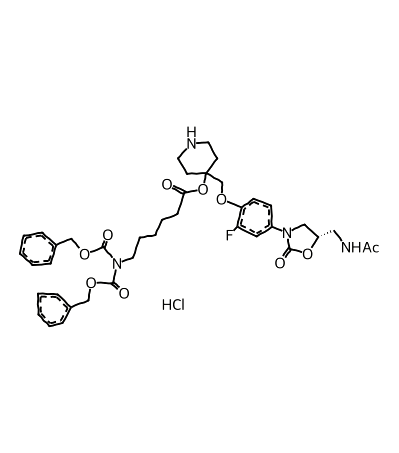 CC(=O)NC[C@H]1CN(c2ccc(OCC3(OC(=O)CCCCCN(C(=O)OCc4ccccc4)C(=O)OCc4ccccc4)CCNCC3)c(F)c2)C(=O)O1.Cl